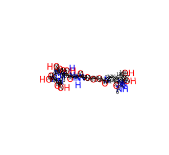 CCNC(=O)c1nnc(-c2cc(C(C)C)c(O)cc2O)n1-c1ccc(CC2CCN(C(=O)CCOCCOCCOCCNC(=O)NCCNC(=O)CC[C@H](C(=O)O)N3CCN(CC(=O)O)CCN(CC(=O)O)CCN(CC(=O)O)CC3)CC2)cc1